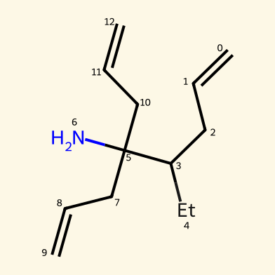 C=CCC(CC)C(N)(CC=C)CC=C